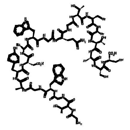 CC[C@H](C)[C@H](NC(=O)[C@H](CC(=O)O)NC(=O)[C@H](Cc1ccc(O)cc1)NC(=O)[C@H](C)NC(=O)CNC(=O)[C@H](Cc1c[nH]c2ccccc12)NC(=O)CNC(=O)[C@@H](NC(=O)CN)[C@@H](C)O)C(=O)N[C@@H](Cc1c[nH]c2ccccc12)C(=O)NCC(=O)N[C@@H](CCC(N)=O)C(=O)NCC(=O)N[C@H](C(=O)N[C@@H](CC(C)C)C(=O)N[C@H](C(=O)N[C@H](C(=O)N[C@H](C(=O)N[C@@H](CO)C(=O)N[C@@H](CO)C(=O)O)C(C)C)[C@@H](C)O)C(C)C)[C@@H](C)O